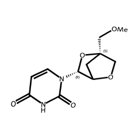 COC[C@]12COC(C1)[C@H](n1ccc(=O)[nH]c1=O)O2